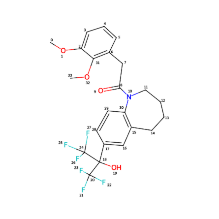 COc1cccc(CC(=O)N2CCCCc3cc(C(O)(C(F)(F)F)C(F)(F)F)ccc32)c1OC